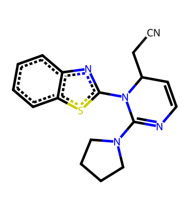 N#CCC1C=CN=C(N2CCCC2)N1c1nc2ccccc2s1